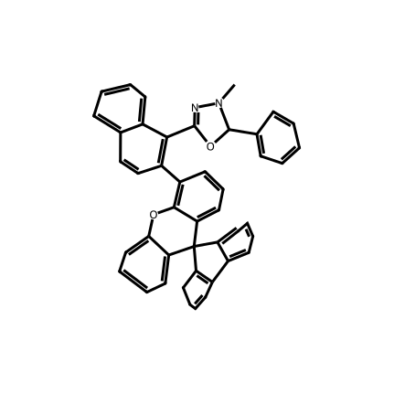 CN1N=C(c2c(-c3cccc4c3Oc3ccccc3C43C4=C(C=CCC4)c4ccccc43)ccc3ccccc23)OC1c1ccccc1